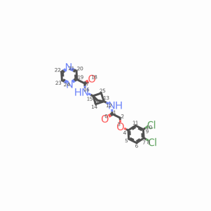 O=C(COc1ccc(Cl)c(Cl)c1)NC12CC(NC(=O)c3cnccn3)(C1)C2